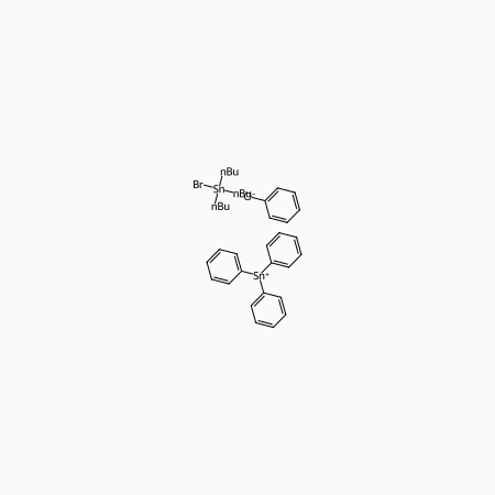 CCC[CH2][Sn]([Br])([CH2]CCC)[CH2]CCC.[O-]c1ccccc1.c1cc[c]([Sn+]([c]2ccccc2)[c]2ccccc2)cc1